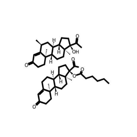 CC(=O)[C@@]1(O)CC[C@H]2[C@@H]3C[C@H](C)C4=CC(=O)CC[C@]4(C)[C@H]3CC[C@@]21C.CCCCCC(=O)O[C@]1(C(C)=O)CC[C@H]2[C@@H]3CCC4=CC(=O)CC[C@]4(C)[C@H]3CC[C@@]21C